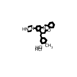 Cc1ccc(CC2CC(=O)N(Cc3ccccc3)c3ccc(N4CCNCC4)cc32)cc1.Cl.Cl